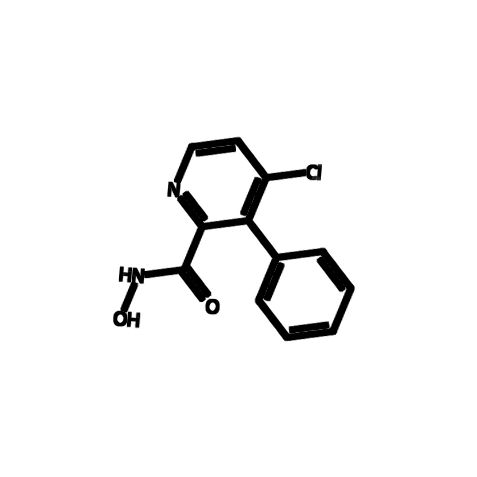 O=C(NO)c1nccc(Cl)c1-c1ccccc1